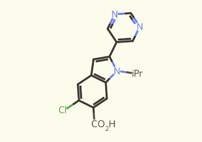 CC(C)n1c(-c2cncnc2)cc2cc(Cl)c(C(=O)O)cc21